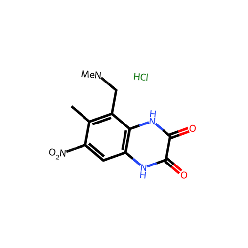 CNCc1c(C)c([N+](=O)[O-])cc2[nH]c(=O)c(=O)[nH]c12.Cl